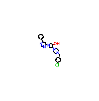 OC1CN(c2cc(-c3ccccc3)ncn2)CC1N1CCN(Cc2ccc(Cl)cc2)CC1